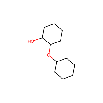 OC1CCCCC1OC1CCCCC1